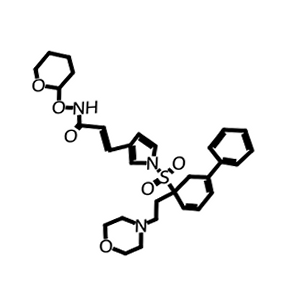 O=C(C=Cc1ccn(S(=O)(=O)C2(CCN3CCOCC3)C=CC=C(c3ccccc3)C2)c1)NOC1CCCCO1